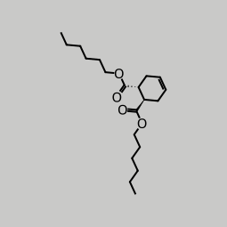 CCCCCCOC(=O)[C@@H]1CC=CC[C@H]1C(=O)OCCCCCC